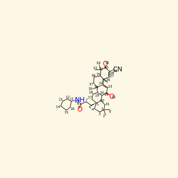 CC1(C)CC[C@]2(CCC(=O)NC3CCCCC3)CCC3C(C(=O)C=C4C5(C)C=C(C#N)C(=O)C(C)(C)C5CCC43C)C2C1